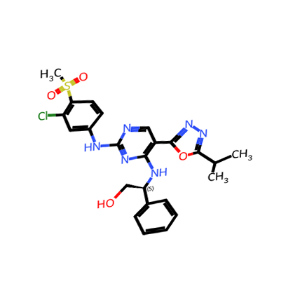 CC(C)c1nnc(-c2cnc(Nc3ccc(S(C)(=O)=O)c(Cl)c3)nc2N[C@H](CO)c2ccccc2)o1